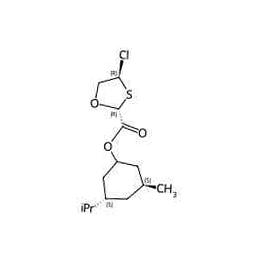 CC(C)[C@@H]1CC(OC(=O)[C@@H]2OC[C@@H](Cl)S2)C[C@@H](C)C1